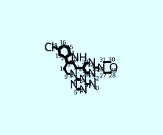 CN(C)c1ncnc(N2CCc3c([nH]c4ccc(Cl)cc34)C2c2cnc(N3CCOCC3)nc2)n1